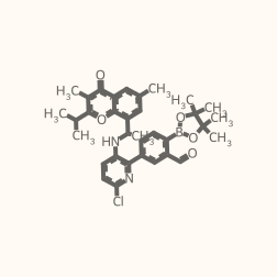 Cc1cc(C(C)Nc2ccc(Cl)nc2-c2ccc(B3OC(C)(C)C(C)(C)O3)c(C=O)c2)c2oc(C(C)C)c(C)c(=O)c2c1